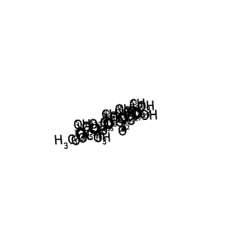 CO[C@@H]1C[C@@H](O)[C@H](O[C@@H]2C[C@@H](O)[C@H](OC3CC[C@H](OC4O[C@@H](C=O)[C@@H](O[C@@H]5C[C@@H](O)[C@H](O)[C@H](C)O5)[C@H](O)[C@@H]4O)C(C)O3)CO2)C(C)O1